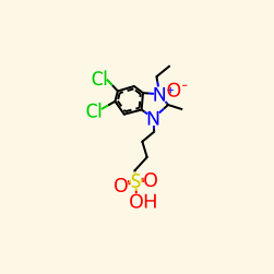 CC[N+]1([O-])c2cc(Cl)c(Cl)cc2N(CCCCS(=O)(=O)O)C1C